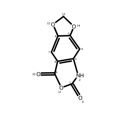 O=c1[nH]c2cc3c(cc2c(=O)o1)OCO3